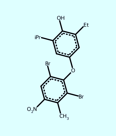 CCc1cc(Oc2c(Br)cc([N+](=O)[O-])c(C)c2Br)cc(C(C)C)c1O